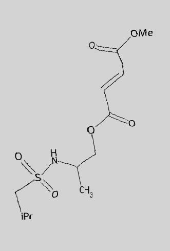 COC(=O)/C=C/C(=O)OCC(C)NS(=O)(=O)CC(C)C